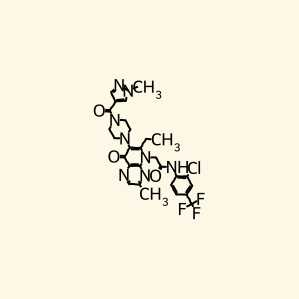 CCc1c(N2CCN(C(=O)c3cnn(C)c3)CC2)c(=O)c2ncc(C)nc2n1CC(=O)Nc1ccc(C(F)(F)F)cc1Cl